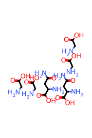 NC(=O)CC(N)C(=O)O.NC(=O)CC(N)C(=O)O.NCC(=O)O.NCC(=O)O.NCC(=O)O.NCC(=O)O